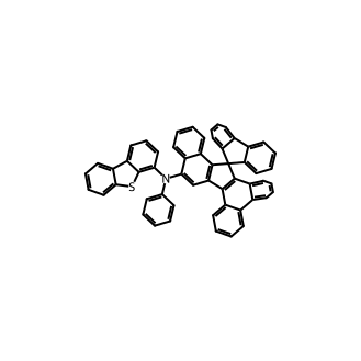 c1ccc(N(c2cc3c(c4ccccc24)C2(c4ccccc4-c4ccccc42)c2c-3c3ccccc3c3ccccc23)c2cccc3c2sc2ccccc23)cc1